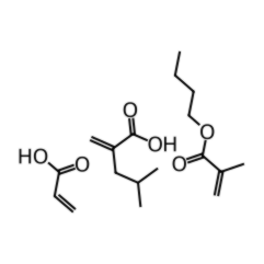 C=C(C)C(=O)OCCCC.C=C(CC(C)C)C(=O)O.C=CC(=O)O